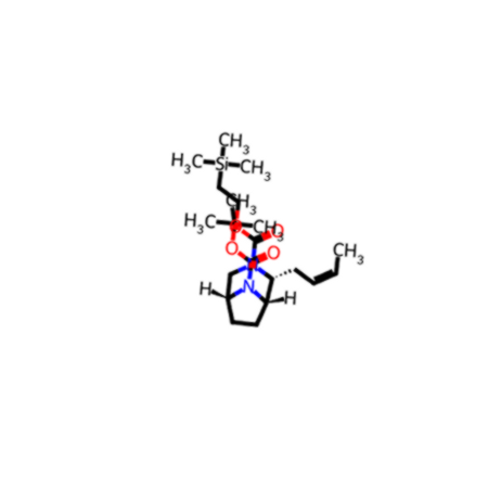 C/C=C\C[C@@H]1[C@@H]2CC[C@H](CN1C(=O)OCC[Si](C)(C)C)N2C(=O)OC(C)(C)C